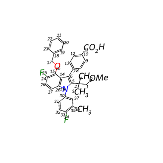 COCC(C)(C)c1c(-c2ccc(C(=O)O)cc2)c2c(OCc3ccccc3)c(F)ccc2n1-c1ccc(F)c(C)c1